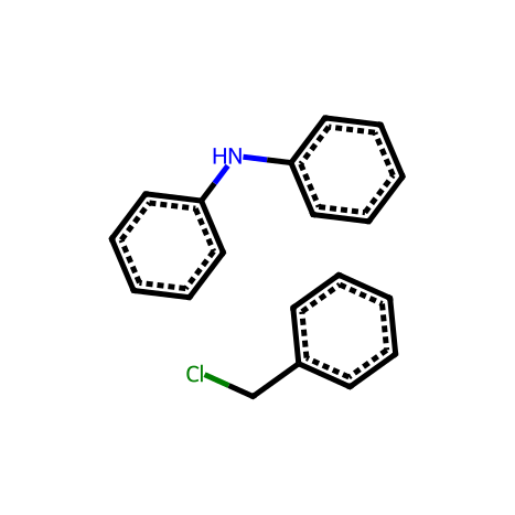 ClCc1ccccc1.c1ccc(Nc2ccccc2)cc1